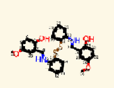 COc1ccc(O)c(CNc2ccccc2SSc2ccccc2NCc2cc(OC)ccc2O)c1